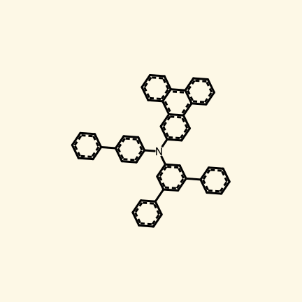 c1ccc(-c2ccc(N(c3cc(-c4ccccc4)cc(-c4ccccc4)c3)c3ccc4c5ccccc5c5ccccc5c4c3)cc2)cc1